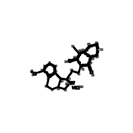 COc1cccc2c1CCC1CNC(CCn3c(=O)c4ccccc4n(C)c3=O)C21.Cl